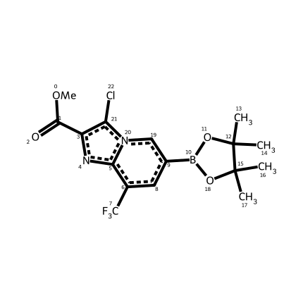 COC(=O)c1nc2c(C(F)(F)F)cc(B3OC(C)(C)C(C)(C)O3)cn2c1Cl